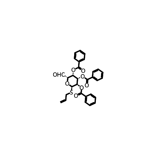 C=CCS[C@H]1O[C@H](C=O)[C@H](OC(=O)c2ccccc2)[C@H](OC(=O)c2ccccc2)[C@H]1OC(=O)c1ccccc1